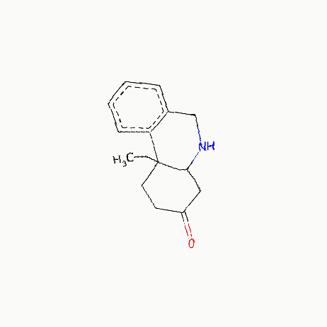 CC12CCC(=O)CC1NCc1ccccc12